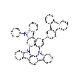 c1ccc(-n2c3ccccc3c3ccc(-n4c5ccccc5c5ccc6c7ccccc7n(-c7cccc(-c8ccc9c%10ccccc%10c%10ccccc%10c9c8)c7)c6c54)cc32)cc1